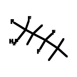 CC(C)(C)C(F)(F)C(C)(C)C(F)(F)P